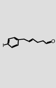 O=[C]CC/C=C/Cc1ccc(I)cc1